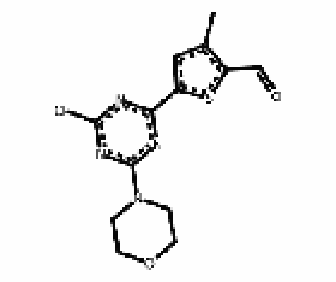 Cc1cc(-c2nc(Cl)nc(N3CCOCC3)n2)sc1C=O